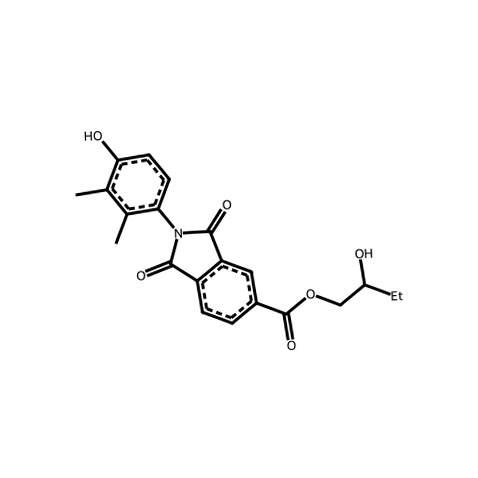 CCC(O)COC(=O)c1ccc2c(c1)C(=O)N(c1ccc(O)c(C)c1C)C2=O